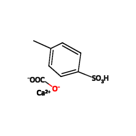 Cc1ccc(S(=O)(=O)O)cc1.O=C([O-])[O-].[Ca+2]